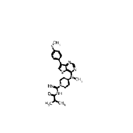 CSc1ccc(-c2csc3c(N(C)C4CCN(C(=N)NC(=O)C(C)C)CC4)ncnc23)cc1